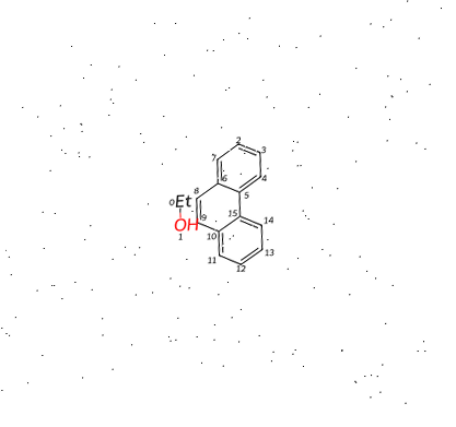 CCO.c1ccc2c(c1)ccc1ccccc12